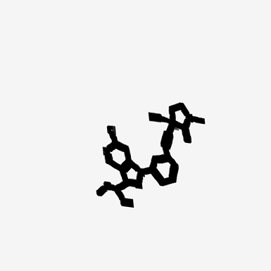 COC(O)c1nn(-c2cccc(C#C[C@]3(O)CCN(C)C3=O)c2)c2cc(Cl)ncc12